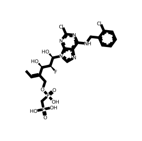 C/C=C(/COP(=O)(O)CP(=O)(O)O)[C@@H](O)[C@H](F)[C@@H](O)n1cnc2c(NCc3ccccc3Cl)nc(Cl)nc21